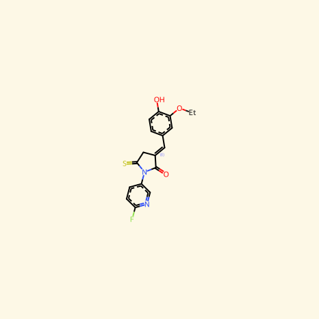 CCOc1cc(/C=C2\CC(=S)N(c3ccc(F)nc3)C2=O)ccc1O